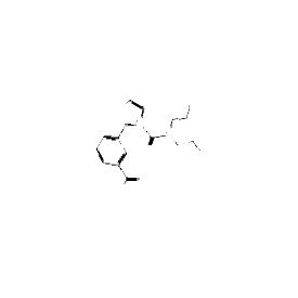 CCCN(CCC)C(=O)N1C=CSC1c1cccc(C(=O)O)c1